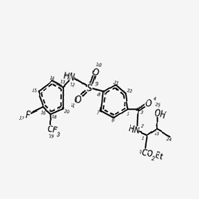 CCOC(=O)C(NC(=O)c1ccc(S(=O)(=O)Nc2ccc(F)c(C(F)(F)F)c2)cc1)C(C)O